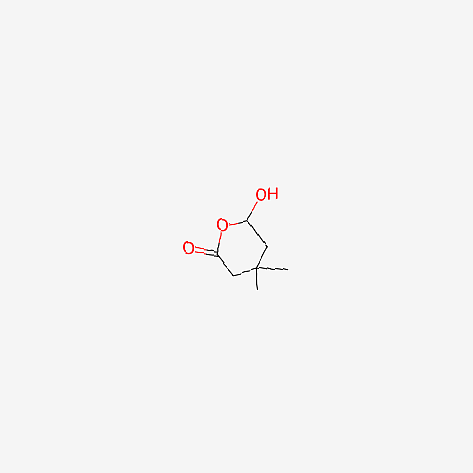 CC1(C)CC(=O)OC(O)C1